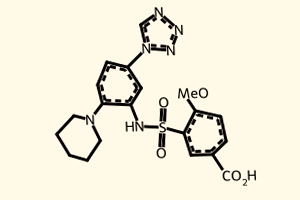 COc1ccc(C(=O)O)cc1S(=O)(=O)Nc1cc(-n2cnnn2)ccc1N1CCCCC1